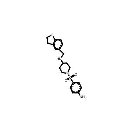 Nc1ccc(S(=O)(=O)N2CCC(NCc3ccc4c(c3)CCO4)CC2)cc1